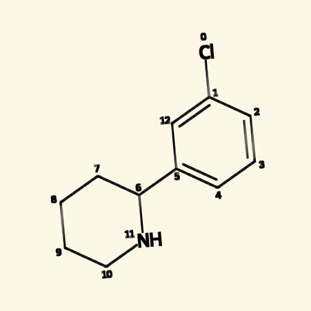 Clc1cccc(C2CCCCN2)c1